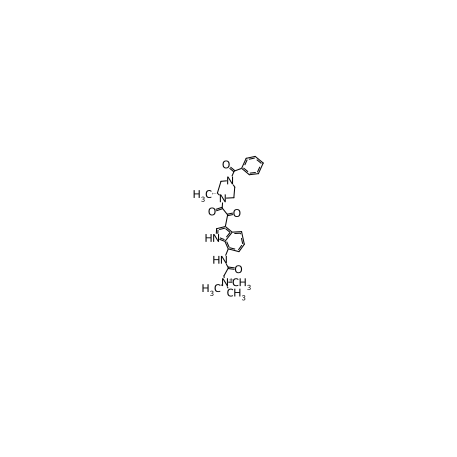 C[C@@H]1CN(C(=O)c2ccccc2)CCN1C(=O)C(=O)c1c[nH]c2c(NC(=O)C[N+](C)(C)C)cccc12